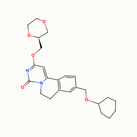 O=c1nc(OC[C@@H]2COCCO2)cc2n1CCc1cc(COC3CCCCC3)ccc1-2